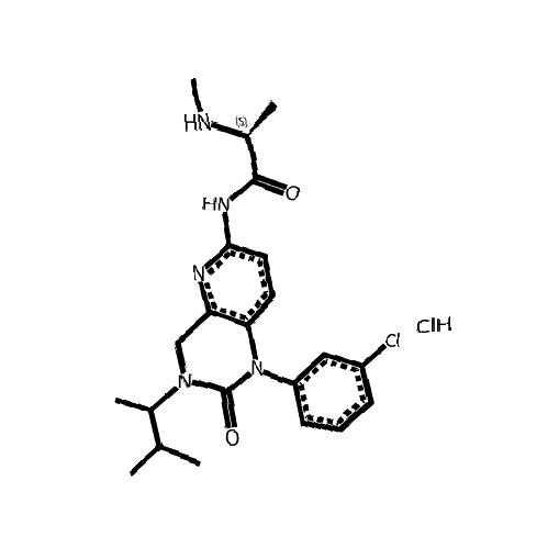 CN[C@@H](C)C(=O)Nc1ccc2c(n1)CN(C(C)C(C)C)C(=O)N2c1cccc(Cl)c1.Cl